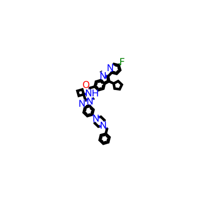 Cn1c(C2(NC(=O)c3ccc4c(C5CCCC5)c(-c5ccc(F)cn5)n(C)c4c3)CCC2)nc2ccc(N3CCN(Cc4ccccc4)CC3)cc21